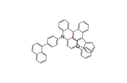 c1ccc(-c2ccc(N(c3ccc(-c4cccc5ccccc45)cc3)c3ccccc3-c3cc4oc5ccccc5c4c4ccccc34)cc2)cc1